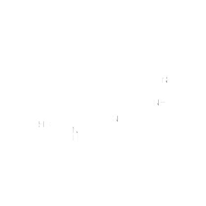 CNc1ccc2cn[nH]c2n1